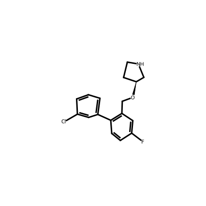 Fc1ccc(-c2cccc(Cl)c2)c(CO[C@H]2CCNC2)c1